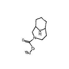 CC(C)(C)OC(=O)N1CCC2CCCC(C1)N2